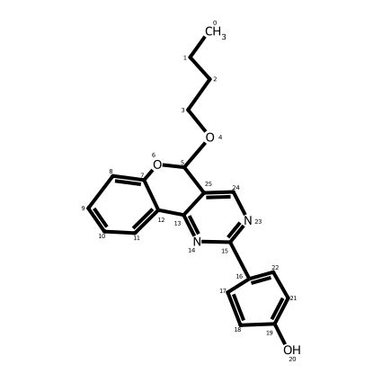 CCCCOC1Oc2ccccc2-c2nc(-c3ccc(O)cc3)ncc21